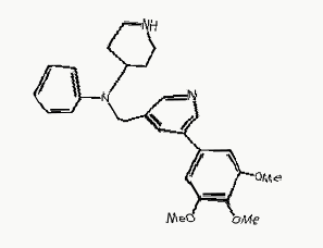 COc1cc(-c2cncc(CN(c3ccccc3)C3CCNCC3)c2)cc(OC)c1OC